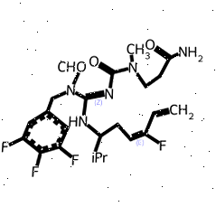 C=C/C(F)=C\CC(N/C(=N/C(=O)N(C)CCC(N)=O)N(C=O)Cc1cc(F)c(F)c(F)c1)C(C)C